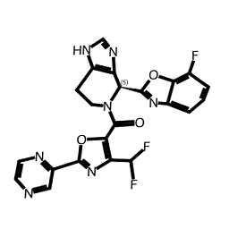 O=C(c1oc(-c2cnccn2)nc1C(F)F)N1CCc2[nH]cnc2[C@H]1c1nc2cccc(F)c2o1